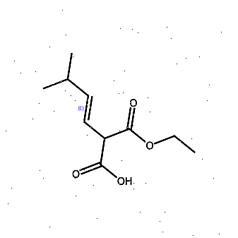 CCOC(=O)C(/C=C/C(C)C)C(=O)O